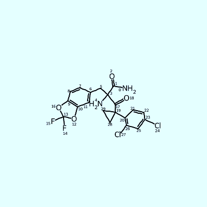 NC(=O)C(N)(Cc1ccc2c(c1)OC(F)(F)O2)C(=O)C1(c2ccc(Cl)cc2Cl)CC1